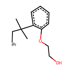 CC(C)CC(C)(C)c1ccccc1OCCO